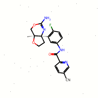 C[C@]12COC(N)=N[C@@]1(c1cc(NC(=O)c3ccc(C#N)cn3)ccc1F)CCO2